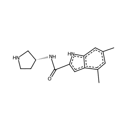 Cc1cc(C)c2cc(C(=O)N[C@@H]3CCNC3)[nH]c2c1